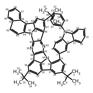 CC(C)(C)c1cc(-c2ccc3c(c2)c2ccccc2n3-c2ccccc2)c2c(c1)c1cc(C(C)(C)C)cc3c4nc5c(nc4n2c13)c1cc(C(C)(C)C)cc2c3c4ccccc4ccc3n5c12